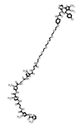 Cc1sc2c(c1C)C(c1ccc(Cl)cc1)=N[C@@H](CC(=O)Nc1ccc(OCCOCCOCCOCCOCCOCCOCCNC(=O)CCNC(=O)c3nc(NC(=O)CCNC(=O)C4CC(NC(=O)c5nc(NC(=O)CCNC(=O)c6cc(NC(=O)c7nccn7C)cn6C)cn5C)=CN4C)cn3C)cc1)c1nncn1-2